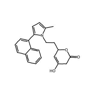 Cc1ccc(-c2cccc3ccccc23)n1CCC1C=C(O)CC(=O)O1